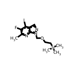 Cc1nc2c(cnn2COCC[Si](C)(C)C)c(I)c1F